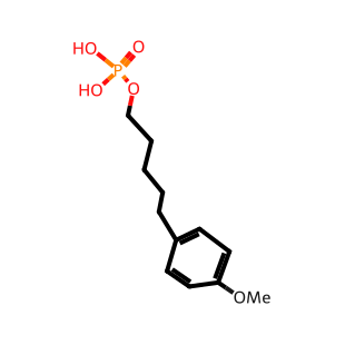 COc1ccc(CCCCCOP(=O)(O)O)cc1